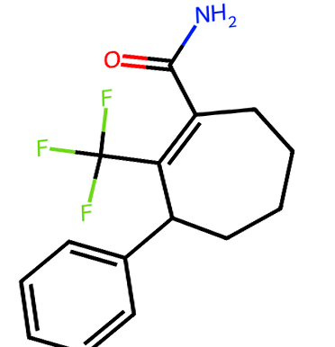 NC(=O)C1=C(C(F)(F)F)C(c2ccccc2)CCCC1